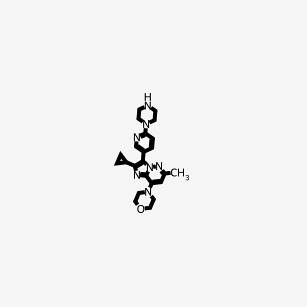 Cc1cc(N2CCOCC2)c2nc(C3CC3)c(-c3ccc(N4CCNCC4)nc3)n2n1